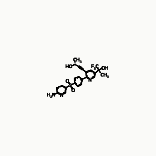 C[C@@H](O)C#Cc1cc(C(C)(O)C(F)(F)F)cnc1-c1ccc(S(=O)(=O)c2ccc(N)nc2)cc1